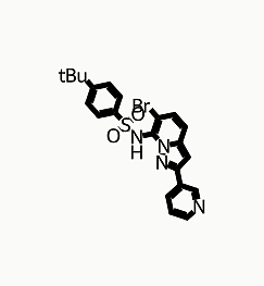 CC(C)(C)c1ccc(S(=O)(=O)Nc2c(Br)ccc3cc(-c4cccnc4)nn23)cc1